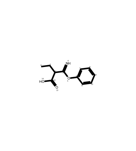 CCC(C(=N)Oc1ccccc1)C(=O)O